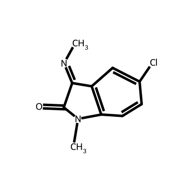 C/N=C1/C(=O)N(C)c2ccc(Cl)cc21